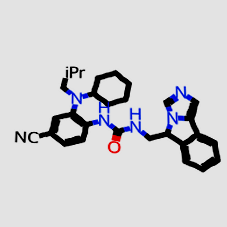 CC(C)CN(c1cc(C#N)ccc1NC(=O)NCC1c2ccccc2-c2cncn21)C1CCCCC1